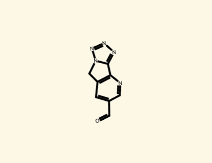 O=Cc1cnc2c(c1)Cn1nnnc1-2